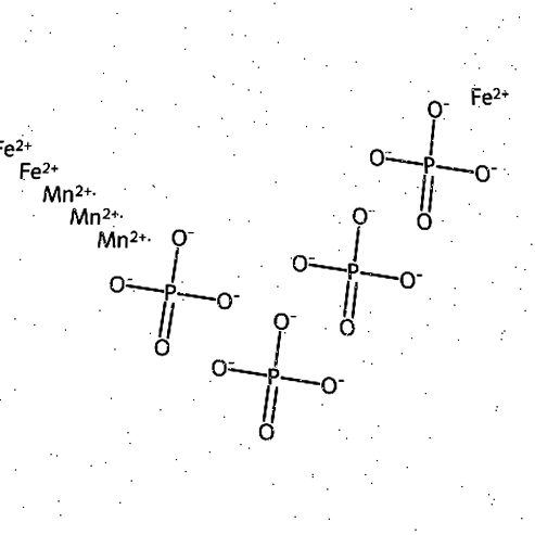 O=P([O-])([O-])[O-].O=P([O-])([O-])[O-].O=P([O-])([O-])[O-].O=P([O-])([O-])[O-].[Fe+2].[Fe+2].[Fe+2].[Mn+2].[Mn+2].[Mn+2]